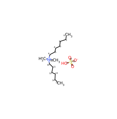 CCCCCCC[N+](C)(C)CCCCCC.O=S(=O)([O-])O